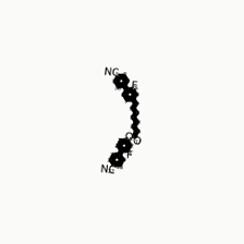 N#Cc1ccc(-c2ccc(CCCCCCCC(=O)Oc3ccc(-c4ccc(C#N)cc4)c(F)c3)cc2F)cc1